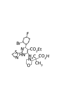 CCOC(=O)C1=C(CN2CCOCC2C(C)(C)CC(=O)O)NC(c2nccs2)=NC1c1ccc(F)cc1Br